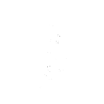 Cc1cc(Nc2ccc3c(c2)OCc2cc(-c4ccccc4)nn2C3)[nH]n1